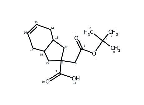 CC(C)(C)OC(=O)CC1(C(=O)O)CC2CC=CCC2C1